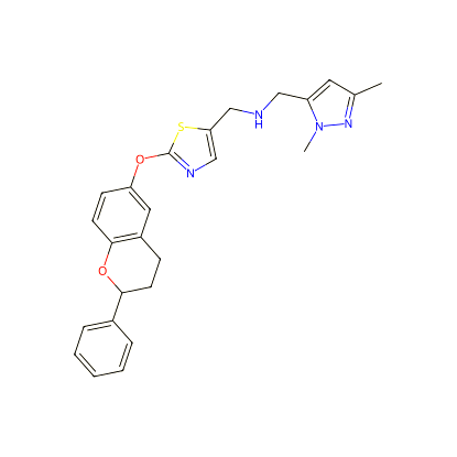 Cc1cc(CNCc2cnc(Oc3ccc4c(c3)CCC(c3ccccc3)O4)s2)n(C)n1